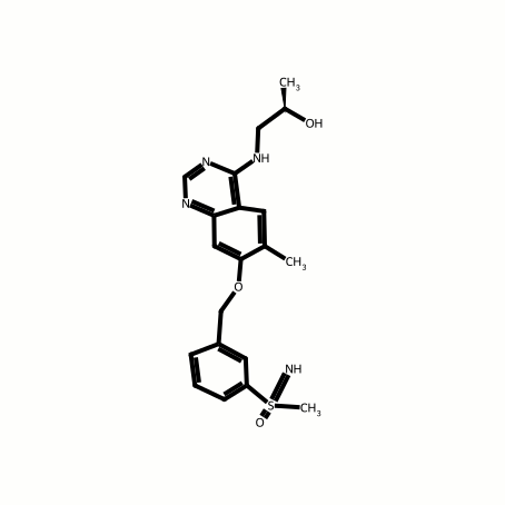 Cc1cc2c(NC[C@@H](C)O)ncnc2cc1OCc1cccc(S(C)(=N)=O)c1